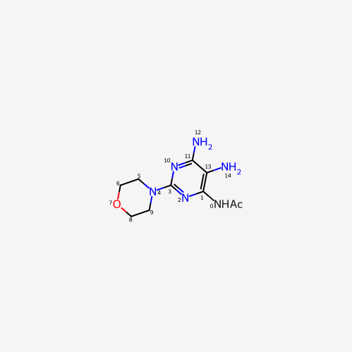 CC(=O)Nc1nc(N2CCOCC2)nc(N)c1N